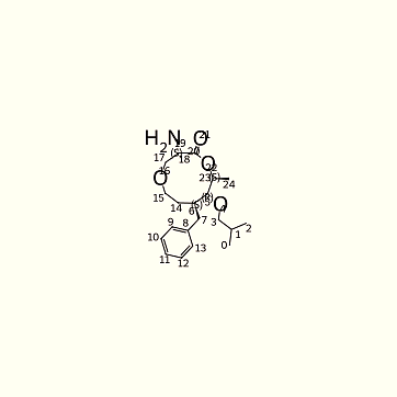 CC(C)CO[C@@H]1[C@@H](Cc2ccccc2)CCOC[C@H](N)C(=O)O[C@H]1C